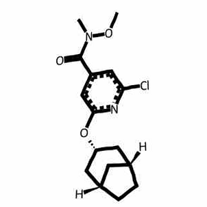 CON(C)C(=O)c1cc(Cl)nc(O[C@@H]2C[C@@H]3CC[C@@H](C3)C2)c1